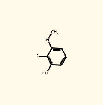 CNc1cccc(O)c1F